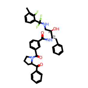 Cc1cccc(C(F)(F)NC[C@@H](O)[C@H](Cc2ccccc2)NC(=O)c2cccc(C(=O)N3CCCC3C(=O)c3ccccc3)c2)c1F